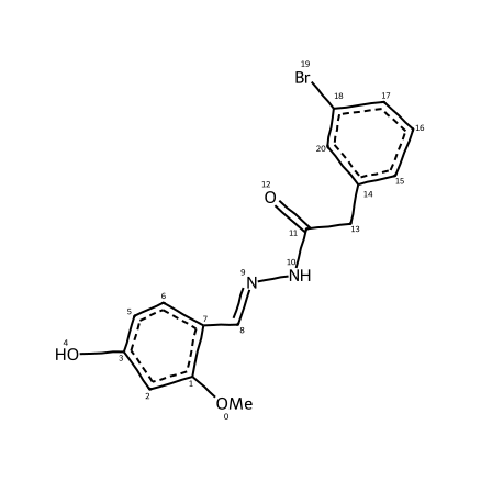 COc1cc(O)ccc1/C=N/NC(=O)Cc1cccc(Br)c1